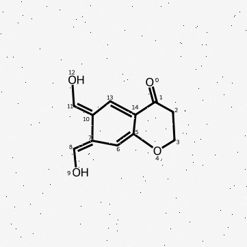 O=C1CCOc2cc(=CO)c(=CO)cc21